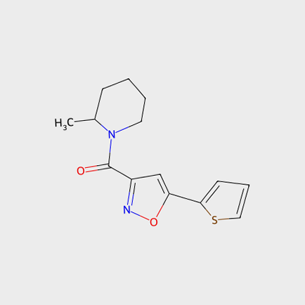 CC1CCCCN1C(=O)c1cc(-c2cccs2)on1